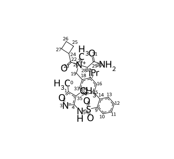 Cc1onc(NS(=O)(=O)c2ccccc2-c2ccc(C[N+](C)(C(=O)C3CCC3)[C@H](C(N)=O)C(C)C)cc2)c1C